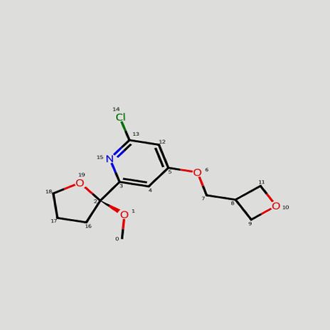 CO[C@@]1(c2cc(OCC3COC3)cc(Cl)n2)CCCO1